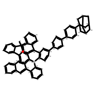 CC1(C)c2ccccc2-c2ccc(N(c3ccccc3-c3ccc4ccccc4c3)c3ccc(-c4ccc(-c5ccc(C67CC8CC(CC(C8)C6)C7)cc5)cc4)cc3-c3cccc4ccccc34)cc21